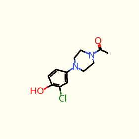 CC(=O)N1CCN(c2ccc(O)c(Cl)c2)CC1